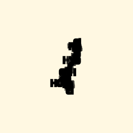 O=C(COc1ccc(Cl)c(F)c1)NCCCCNC(=O)[C@@H]1C[C@H](O)c2cc(Cl)ccc2O1